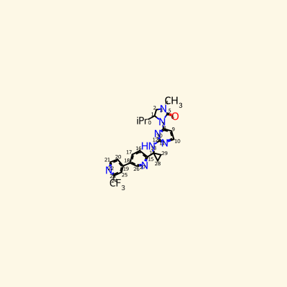 CC(C)C1CN(C)C(=O)N1c1ccnc(NC2(c3ccc(-c4ccnc(C(F)(F)F)c4)cn3)CC2)n1